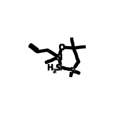 C=CC[Si]1(C)OC(C)(C)C[Si](C)(C)[SiH2]1